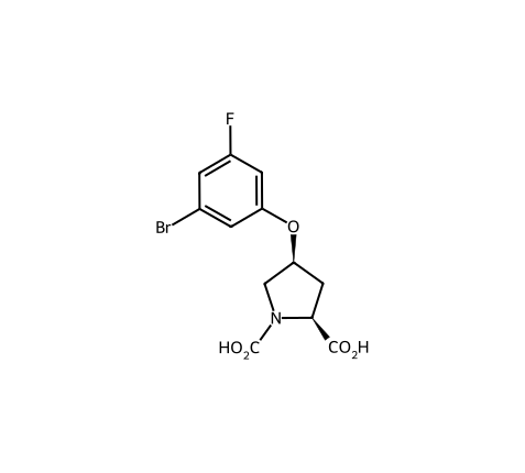 O=C(O)[C@@H]1C[C@H](Oc2cc(F)cc(Br)c2)CN1C(=O)O